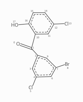 O=C(c1cc(Cl)cc(Br)c1)c1cc(Cl)ccc1O